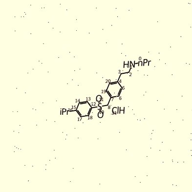 CCCNCCc1ccc(CS(=O)(=O)c2ccc(C(C)C)cc2)cc1.Cl